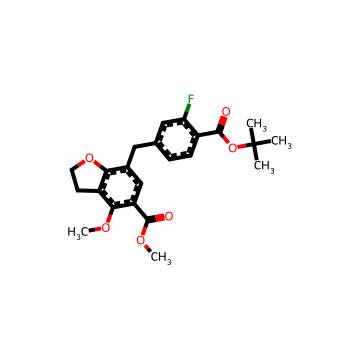 COC(=O)c1cc(Cc2ccc(C(=O)OC(C)(C)C)c(F)c2)c2c(c1OC)CCO2